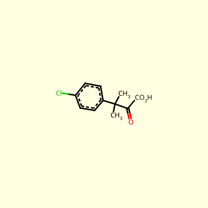 CC(C)(C(=O)C(=O)O)c1ccc(Cl)cc1